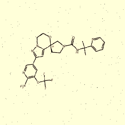 CC(C)(NC(=O)N1CC[C@]2(C1)OCCn1nc(-c3cnc(N)c(OC(F)(F)F)c3)cc12)c1ccccn1